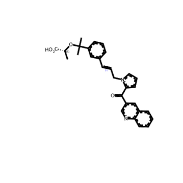 C[C@@H](OC(C)(C)c1cccc(/C=C/Cn2cccc2C(=O)c2cnc3ccccc3c2)c1)C(=O)O